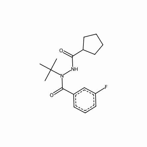 CC(C)(C)N(NC(=O)C1CCCC1)C(=O)c1cccc(F)c1